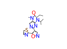 CCC1C(=O)N(C)c2cnc(-c3cnoc3-c3nccs3)nc2N1C(C)C